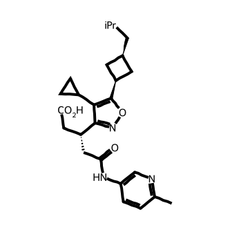 Cc1ccc(NC(=O)C[C@H](CC(=O)O)c2noc([C@H]3C[C@@H](CC(C)C)C3)c2C2CC2)cn1